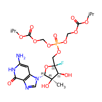 CC(C)OC(=O)OCOP(=O)(OCOC(=O)OC(C)C)OC[C@@]1(F)O[C@@H](n2cnc3c(=O)[nH]c(N)cc32)[C@](C)(O)[C@@H]1O